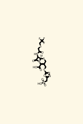 O=C(CSCC(F)(F)F)NC1C(=O)N2C(C(=O)O)=C(CSc3nnc(CS(=O)(=O)O)o3)CS[C@H]12